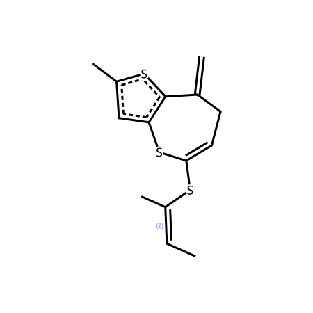 C=C1CC=C(S/C(C)=C\C)Sc2cc(C)sc21